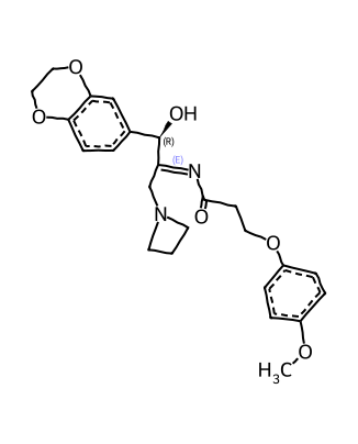 COc1ccc(OCCC(=O)/N=C(\CN2CCC2)[C@H](O)c2ccc3c(c2)OCCO3)cc1